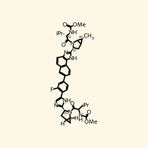 COC(=O)NC(C(=O)N1[C@@H]2C[C@@H]2C[C@H]1c1ncc(-c2ccc(-c3ccc4c(ccc5nc([C@@H]6CC7C([C@@H]7C)N6C(=O)[C@@H](NC(=O)OC)C(C)C)[nH]c54)c3)cc2F)[nH]1)C(C)C